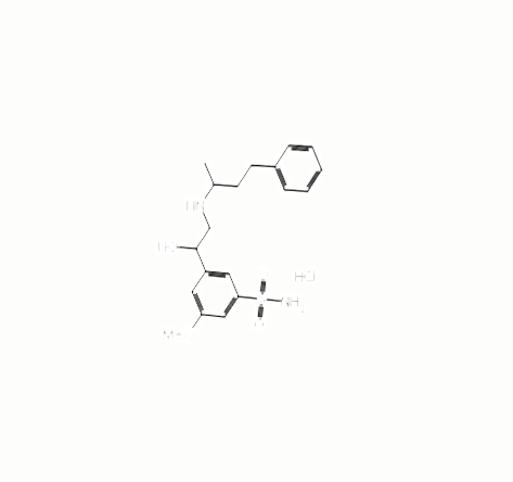 COc1cc(C(O)CNC(C)CCc2ccccc2)cc(S(N)(=O)=O)c1.Cl